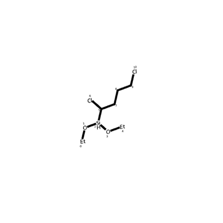 CCO[SiH](OCC)C(Cl)CCCCl